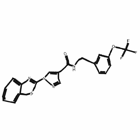 O=C(NCc1cccc(OC(F)(F)F)c1)c1cnn(-c2nc3ccccc3s2)c1